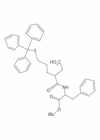 CC(C)(C)OC(=O)C(Cc1ccccc1)NC(=O)C(CCCSC(c1ccccc1)(c1ccccc1)c1ccccc1)CC(=O)O